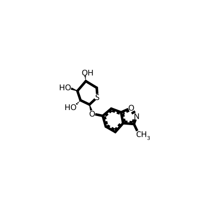 Cc1noc2cc(O[C@@H]3SC[C@@H](O)[C@H](O)[C@H]3O)ccc12